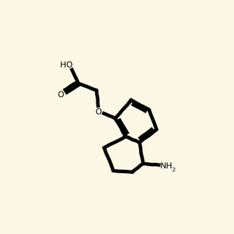 NC1CCCc2c(OCC(=O)O)cccc21